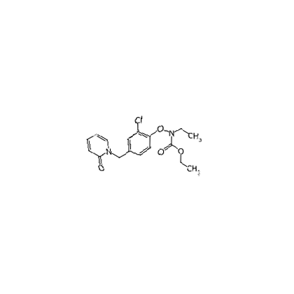 CCOC(=O)N(CC)Oc1ccc(Cn2ccccc2=O)cc1Cl